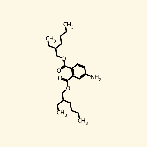 CCCCC(CC)COC(=O)c1ccc(N)cc1C(=O)OCC(CC)CCCC